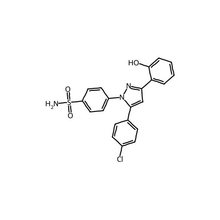 NS(=O)(=O)c1ccc(-n2nc(-c3ccccc3O)cc2-c2ccc(Cl)cc2)cc1